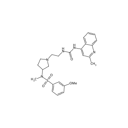 COc1cccc(S(=O)(=O)N(C)C2CCN(CCNC(=O)Nc3cc(C)nc4ccccc34)C2)c1